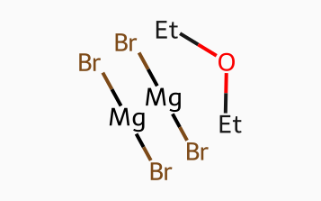 CCOCC.[Br][Mg][Br].[Br][Mg][Br]